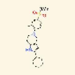 CNS(=O)(=O)c1ccc(N2CCc3[nH]c(C4CCCCC4)cc3C2)c(C)c1